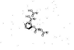 O=[N+]([O-])O.O=[N+]([O-])O.O=[N+]([O-])O.O=[N+]([O-])O.c1cnnnn1